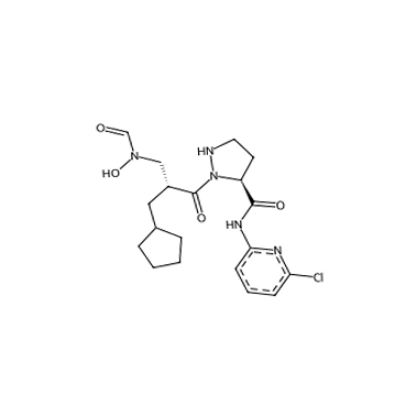 O=CN(O)C[C@@H](CC1CCCC1)C(=O)N1NCC[C@H]1C(=O)Nc1cccc(Cl)n1